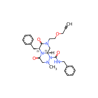 C#CCOCCN1C[C@H]2N(C(=O)CN(C)N2C(=O)NCc2ccccc2)[C@@H](Cc2ccccc2)C1=O